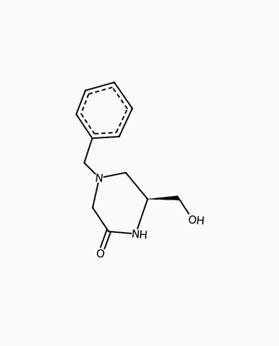 O=C1CN(Cc2ccccc2)C[C@@H](CO)N1